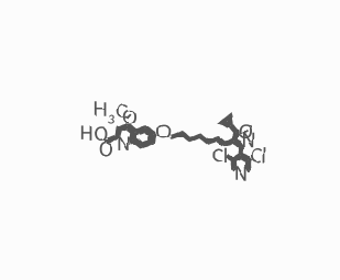 COc1cc(C(=O)O)nc2ccc(OCCCCC/C=C/c3c(-c4c(Cl)cncc4Cl)noc3C3CC3)cc12